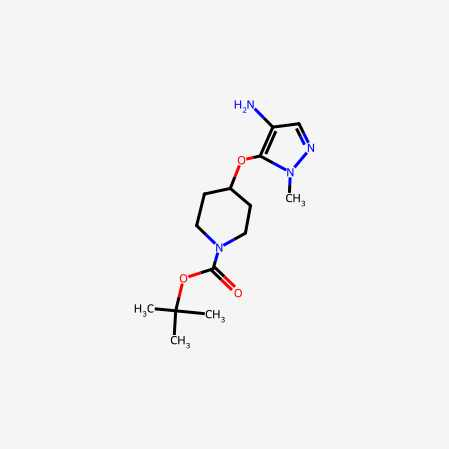 Cn1ncc(N)c1OC1CCN(C(=O)OC(C)(C)C)CC1